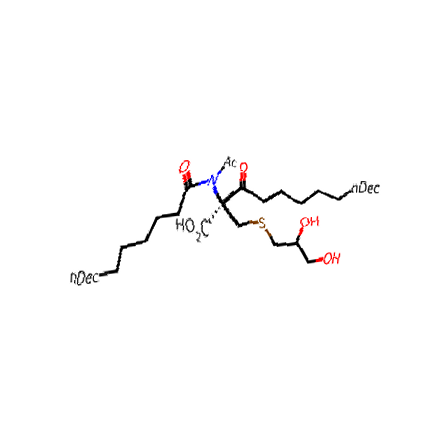 CCCCCCCCCCCCCCCC(=O)N(C(C)=O)[C@@](CSCC(O)CO)(C(=O)O)C(=O)CCCCCCCCCCCCCCC